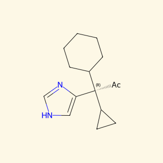 CC(=O)[C@](c1c[nH]cn1)(C1CCCCC1)C1CC1